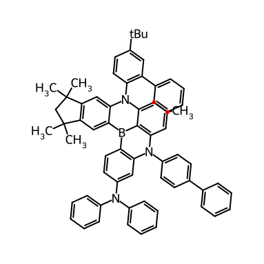 Cc1cc2c3c(c1)N(c1ccc(C(C)(C)C)cc1-c1ccccc1)c1cc4c(cc1B3c1ccc(N(c3ccccc3)c3ccccc3)cc1N2c1ccc(-c2ccccc2)cc1)C(C)(C)CC4(C)C